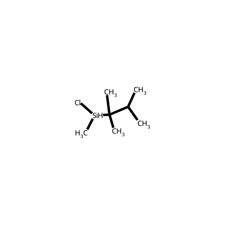 CC(C)C(C)(C)[SiH](C)Cl